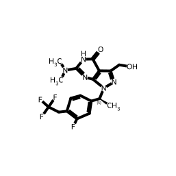 C[C@@H](c1ccc(CC(F)(F)F)c(F)c1)n1nc(CO)c2c(=O)[nH]c(N(C)C)nc21